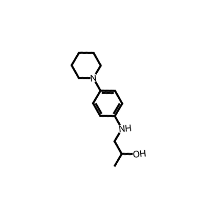 CC(O)CNc1ccc(N2CCCCC2)cc1